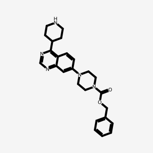 O=C(OCc1ccccc1)N1CCN(c2ccc3c(C4CCNCC4)ncnc3c2)CC1